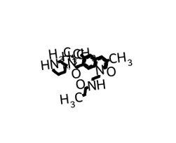 CCC(=O)NCCn1c(=O)c(C)cc2cc(C)c(C(=O)N(C(C)C)[C@@H]3CCCNC3)cc21